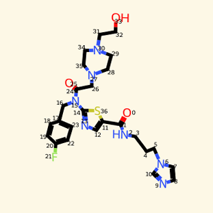 O=C(NCCCn1ccnc1)c1cnc(N(Cc2ccc(F)cc2)C(=O)CN2CCN(CCO)CC2)s1